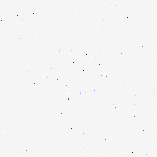 C=C(c1cccc(Cl)c1)[C@@H]1CC[C@H]2CN(c3ccc(C#N)cn3)CCN21